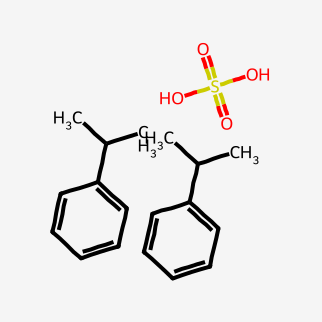 CC(C)c1ccccc1.CC(C)c1ccccc1.O=S(=O)(O)O